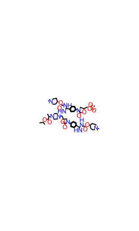 CC(C)OC(=O)C(C)N1CCN(CC2CN(c3ccc(C(=N)NC(=O)OC4CCN(C)CC4)cc3)C(=O)O2)CC1.CN1CCC(OC(=O)NC(=N)c2ccc(N3CC(COS(C)(=O)=O)OC3=O)cc2)CC1